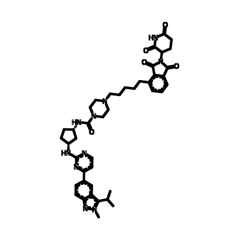 CC(C)c1c2cc(-c3ccnc(N[C@H]4CC[C@H](NC(=O)N5CCN(CCCCCc6cccc7c6C(=O)N(C6CCC(=O)NC6=O)C7=O)CC5)C4)n3)ccc2nn1C